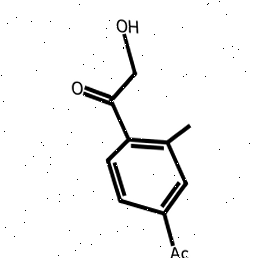 CC(=O)c1ccc(C(=O)CO)c(C)c1